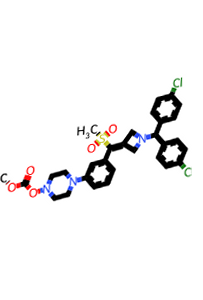 COC(=O)ON1CCN(c2cccc(C(=C3CN(C(c4ccc(Cl)cc4)c4ccc(Cl)cc4)C3)S(C)(=O)=O)c2)CC1